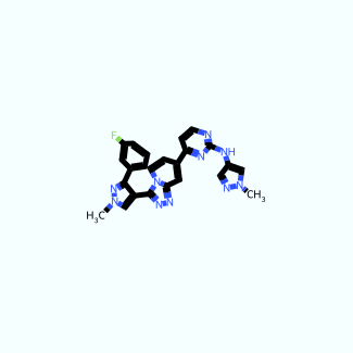 Cn1cc(Nc2nccc(-c3ccn4c(-c5cn(C)nc5-c5cccc(F)c5)nnc4c3)n2)cn1